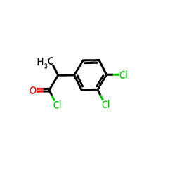 CC(C(=O)Cl)c1ccc(Cl)c(Cl)c1